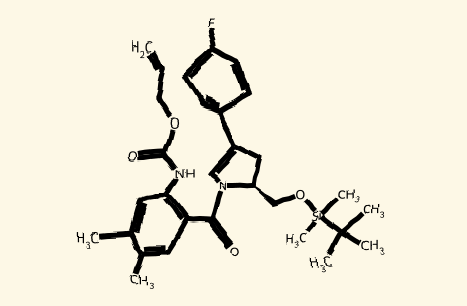 C=CCOC(=O)Nc1cc(C)c(C)cc1C(=O)N1C=C(c2ccc(F)cc2)C[C@H]1CO[Si](C)(C)C(C)(C)C